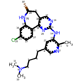 Cc1ncc(CCCCN(C)C)cc1Nc1ncc2c(n1)-c1ccc(Cl)cc1NC(=S)C2